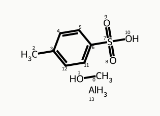 CO.Cc1ccc(S(=O)(=O)O)cc1.[AlH3]